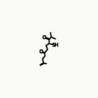 C=C(C)CCC(=O)CCC(S)C(=O)C(C)C